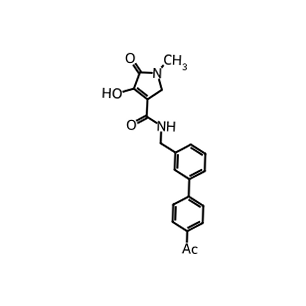 CC(=O)c1ccc(-c2cccc(CNC(=O)C3=C(O)C(=O)N(C)C3)c2)cc1